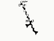 COC(=O)NCCOCCOCCNC(=O)C(CCCCC1CC1)C1CC1